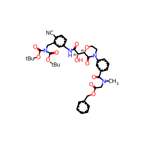 CN(CC(=O)OCc1ccccc1)C(=O)c1cccc(N2CCO[C@H]([C@@H](O)C(=O)Nc3ccc(C#N)c(CN(C(=O)OC(C)(C)C)C(=O)OC(C)(C)C)c3)C2=O)c1